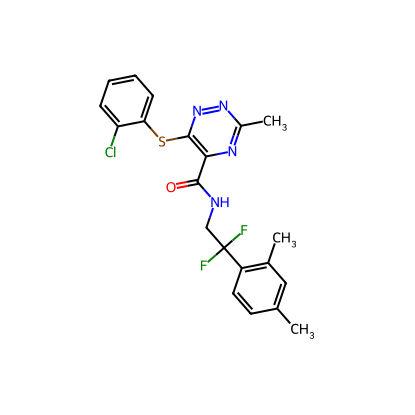 Cc1ccc(C(F)(F)CNC(=O)c2nc(C)nnc2Sc2ccccc2Cl)c(C)c1